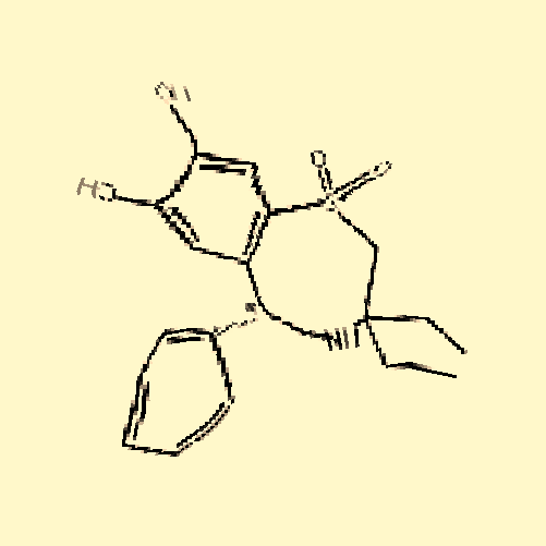 CCC1(CC)CS(=O)(=O)c2cc(O)c(O)cc2[C@@H](c2ccccc2)N1